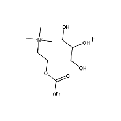 CCCC(=O)OCC[N+](C)(C)C.OCC(O)CO.[I-]